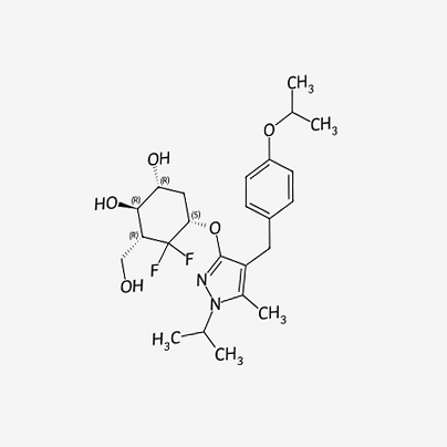 Cc1c(Cc2ccc(OC(C)C)cc2)c(O[C@H]2C[C@@H](O)[C@H](O)[C@@H](CO)C2(F)F)nn1C(C)C